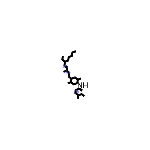 C=C(/C=C\C(C)CC)NC1CC(C)C(C/C=C(C)/C=C/C(CC)CCCCC)CC1C